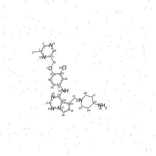 Cc1cncc(COc2ccc(Nc3ncnn4ccc(CN5CCC(N)CC5)c34)cc2Cl)n1